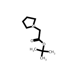 CC(C)(C)OC(=O)C[S+]1CCCC1